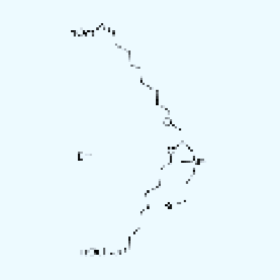 CCCCCCCC/C=C\CCCCCCCCOCC(C[N+](C)(C)CCCBr)OCCCCCCCC/C=C\CCCCCCCC.[Br-]